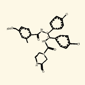 COc1ccc(C(=O)N[C@@H](c2ccc(Cl)cc2)[C@H](NC(=O)N2CCNC(=O)C2)c2ccc(Cl)cc2)c(C)c1